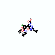 COC(=O)Cn1cc(-c2cc(Cl)c(OCC[Si](C)(C)C)c(C(=O)NC(C)(C)CC(C)(C)C)c2)c2c(=O)n(C)c(/C=C/C3CC3)nc21